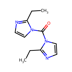 CCc1nccn1C(=O)n1ccnc1CC